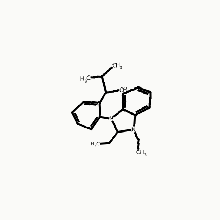 CCC1N(CC)c2ccccc2N1c1ccccc1C(C)C(C)C